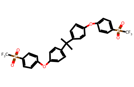 CC(C)(c1ccc(Oc2ccc(S(=O)(=O)C(F)(F)F)cc2)cc1)c1ccc(Oc2ccc(S(=O)(=O)C(F)(F)F)cc2)cc1